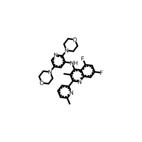 Cc1cccc(-c2nc3cc(F)cc(F)c3c(Nc3cc(N4CCOCC4)cnc3N3CCOCC3)c2C)n1